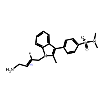 Cc1c(-c2ccc(S(=O)(=O)N(C)C)cc2)c2ccccc2n1C/C(F)=C/CN